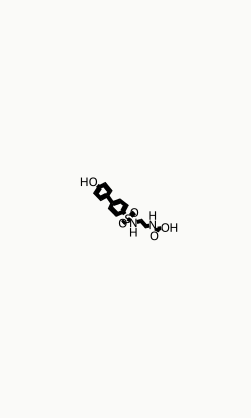 O=C(O)NCCNS(=O)(=O)c1ccc(-c2ccc(O)cc2)cc1